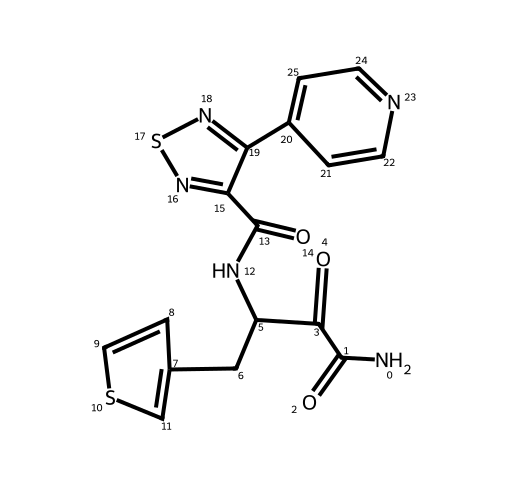 NC(=O)C(=O)C(Cc1ccsc1)NC(=O)c1nsnc1-c1ccncc1